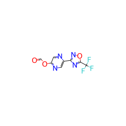 O=COc1cnc(-c2noc(C(F)(F)F)n2)cn1